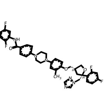 Cc1cc(N2CCN(c3ccc(C(=O)Nc4cc(F)ccc4F)cc3)CC2)ccc1OC[C@@H]1CO[C@@](Cn2cncn2)(c2ccc(F)cc2F)C1